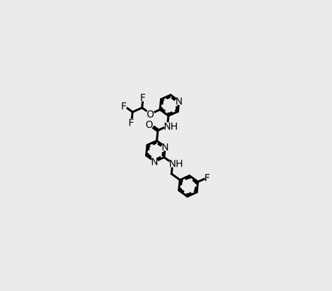 O=C(Nc1cnccc1OC(F)C(F)F)c1ccnc(NCc2cccc(F)c2)n1